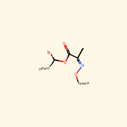 CCCCCCON=C(C)C(=O)OC(Br)CCCCC